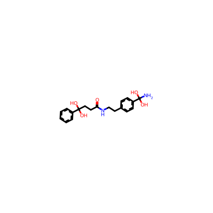 NC(O)(O)c1ccc(CCNC(=O)CCC(O)(O)c2ccccc2)cc1